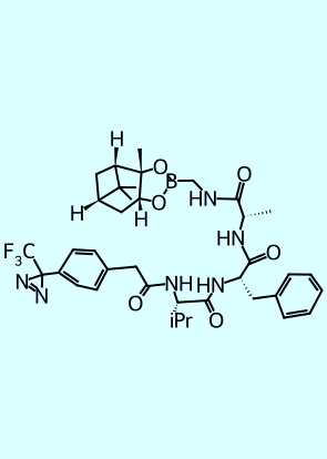 CC(C)[C@H](NC(=O)Cc1ccc(C2(C(F)(F)F)N=N2)cc1)C(=O)N[C@@H](Cc1ccccc1)C(=O)N[C@@H](C)C(=O)NCB1O[C@@H]2C[C@@H]3C[C@@H](C3(C)C)[C@]2(C)O1